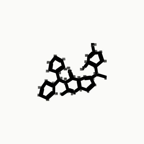 Cc1nc2ccc(N(C)c3ccc(F)cc3F)cc2c(=O)n1C(c1ccccc1)c1ccccc1